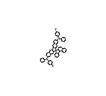 Fc1ccc(N(c2ccccc2)c2ccc3cc4c(cc3c2)C2(c3cc5cc(N(c6ccccc6)c6ccc(F)cc6)ccc5cc3-4)c3ccccc3-c3c2ccc2ccccc32)cc1